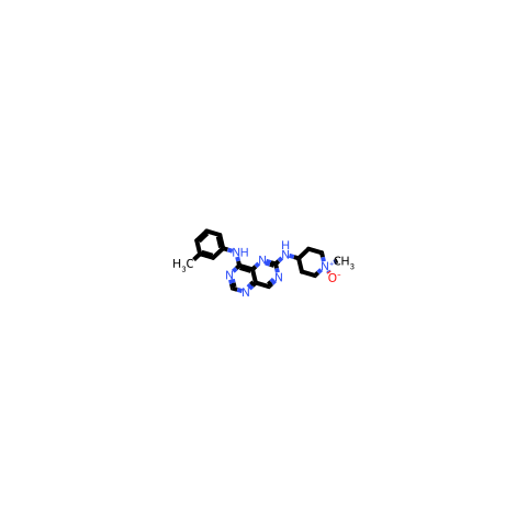 Cc1cccc(Nc2ncnc3cnc(NC4CC[N+](C)([O-])CC4)nc23)c1